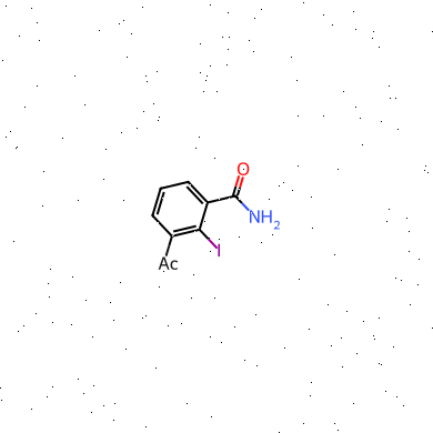 CC(=O)c1cccc(C(N)=O)c1I